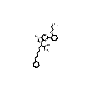 CCCOc1ccccc1-c1ncc2c(n1)n(C(CCCCCc1ccccc1)C(C)O)c[n+]2[O-]